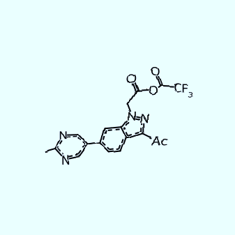 CC(=O)c1nn(CC(=O)OC(=O)C(F)(F)F)c2cc(-c3cnc(C)nc3)ccc12